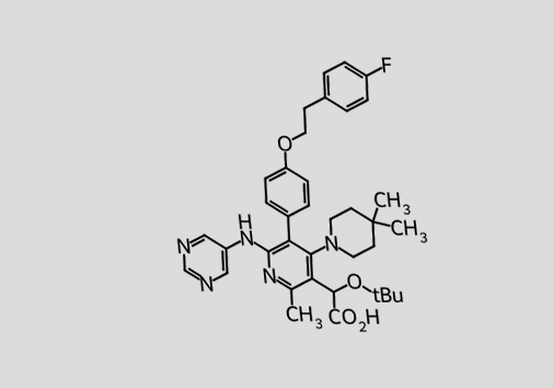 Cc1nc(Nc2cncnc2)c(-c2ccc(OCCc3ccc(F)cc3)cc2)c(N2CCC(C)(C)CC2)c1C(OC(C)(C)C)C(=O)O